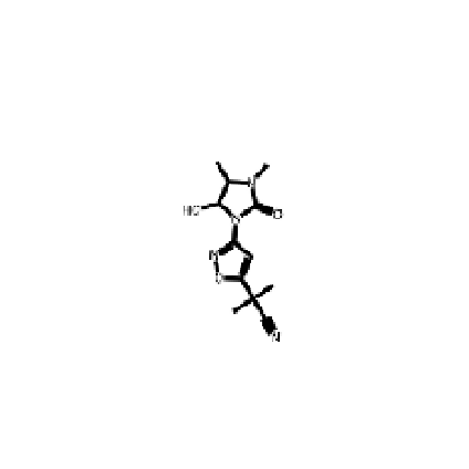 CC1C(O)N(c2cc(C(C)(C)C#N)on2)C(=O)N1C